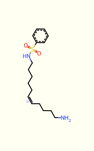 NCCCC/C=C\CCCCCNS(=O)(=O)c1ccccc1